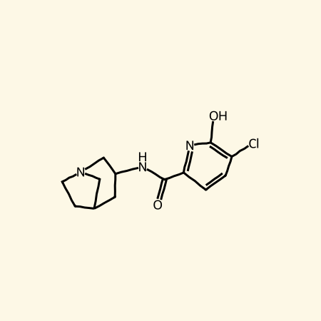 O=C(NC1CC2CCN(C2)C1)c1ccc(Cl)c(O)n1